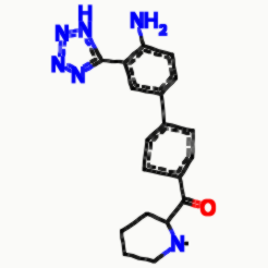 Nc1ccc(-c2ccc(C(=O)C3CCCC[N]3)cc2)cc1-c1nnn[nH]1